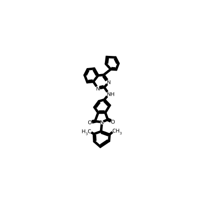 Cc1cccc(C)c1N1C(=O)c2ccc(Nc3nc(-c4ccccc4)c4ccccc4n3)cc2C1=O